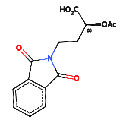 CC(=O)O[C@@H](CCN1C(=O)c2ccccc2C1=O)C(=O)O